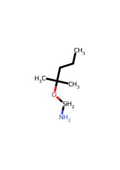 CCCC(C)(C)O[SiH2]N